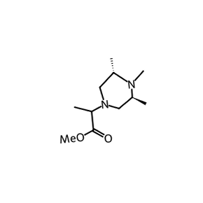 COC(=O)C(C)N1C[C@H](C)N(C)[C@@H](C)C1